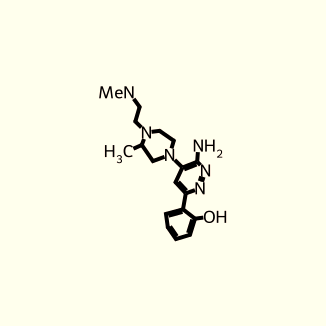 CNCCN1CCN(c2cc(-c3ccccc3O)nnc2N)CC1C